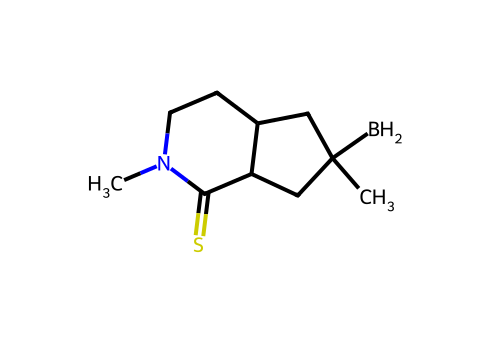 BC1(C)CC2CCN(C)C(=S)C2C1